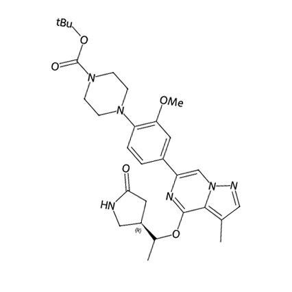 COc1cc(-c2cn3ncc(C)c3c(OC(C)[C@H]3CNC(=O)C3)n2)ccc1N1CCN(C(=O)OC(C)(C)C)CC1